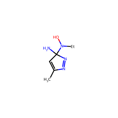 CCN(O)C1(N)C=C(C)N=N1